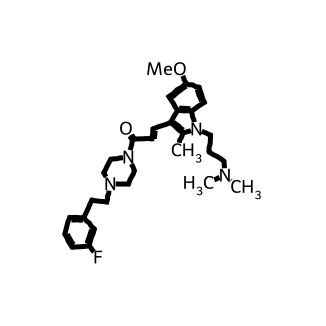 COc1ccc2c(c1)c(C=CC(=O)N1CCN(CCc3cccc(F)c3)CC1)c(C)n2CCCN(C)C